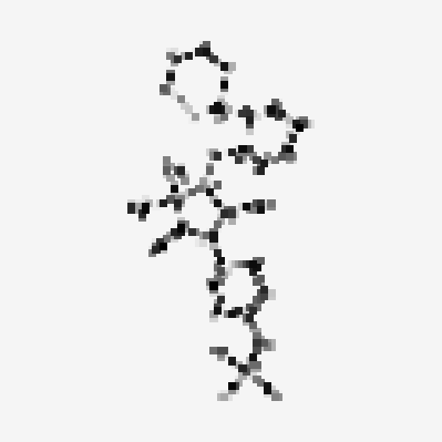 CC1(C)C(=O)N(c2ccc(OC(F)(F)F)cc2)C(=O)N1Cc1ccncc1N1CCCCC1